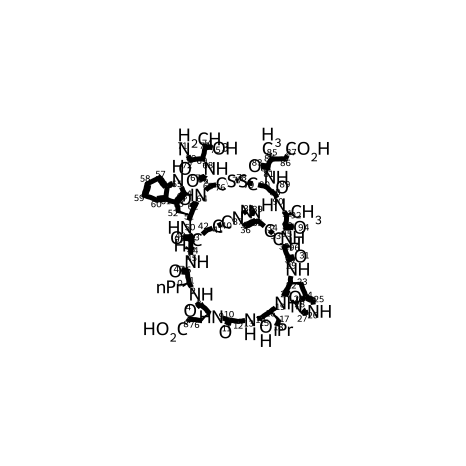 CCC[C@@H]1NC(=O)[C@H](CCC(=O)O)NC(=O)CNC(O)[C@H](CC(C)C)NC(=O)[C@H](Cc2c[nH]cn2)NC(=O)[C@@H]2CCc3cn(nn3)CCCC[C@H](NC1=O)C(=O)N[C@@H](Cc1c[nH]c3ccccc13)C(=O)N[C@H](C(=O)N[C@H](C(N)=O)[C@@H](C)O)CSSC[C@H](NC(=O)[C@@H](C)CC(=O)O)C(=O)N[C@@H](C)C(=O)N2